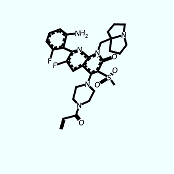 C=CC(=O)N1CCN(c2c(S(C)(=O)=O)c(=O)n(CC34CCCN3CCC4)c3nc(-c4c(N)cccc4F)c(F)cc23)CC1